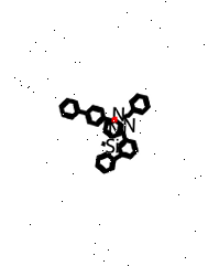 C[Si]1(c2ccccc2)c2ccccc2-c2cccc(-c3nc(-c4ccccc4)nc(-c4ccc(-c5ccccc5)cc4)n3)c21